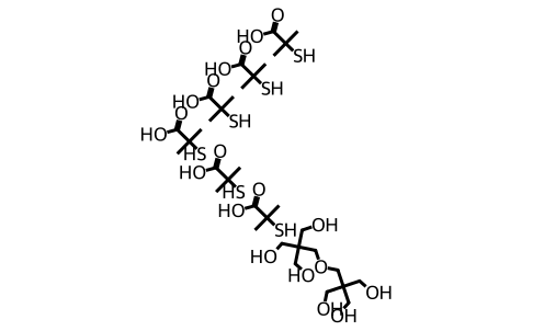 CC(C)(S)C(=O)O.CC(C)(S)C(=O)O.CC(C)(S)C(=O)O.CC(C)(S)C(=O)O.CC(C)(S)C(=O)O.CC(C)(S)C(=O)O.OCC(CO)(CO)COCC(CO)(CO)CO